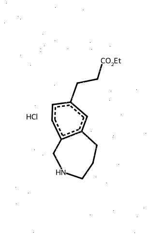 CCOC(=O)CCc1ccc2c(c1)CCCNC2.Cl